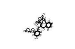 COCOc1ccccc1CC(=CC(=O)O)Cc1ccccc1OCOC